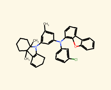 Cc1cc(N(c2cccc(Cl)c2)c2cccc3c2oc2ccccc23)cc(N2C3=C(C=CCC3)C3(C)CCCCC23C)c1